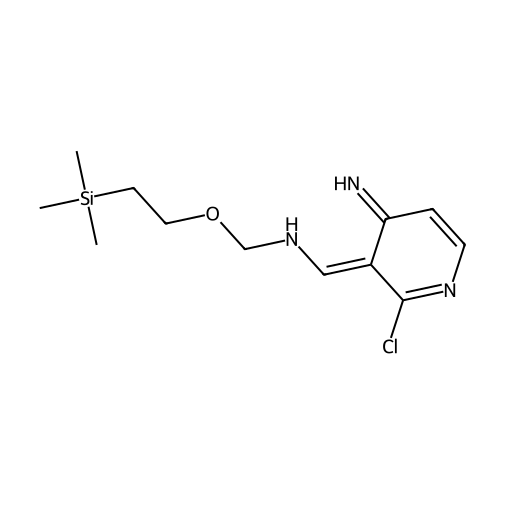 C[Si](C)(C)CCOCN/C=C1\C(=N)C=CN=C1Cl